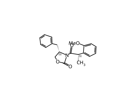 COc1ccccc1[C@H](C)C(=O)N1C(=O)OC[C@@H]1Cc1ccccc1